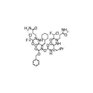 CC(C)C[C@@H](NC(=O)ON(C(=O)OCc1ccccc1)[C@H](CC1CCCCC1)C(=O)NN(CCC(N)=O)C(=O)[C@H](F)Cl)C(=O)NN(CCC(N)=O)C(=O)C(F)Cl